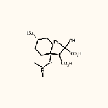 CC(C)C(O)(C(=O)O)C(C(=O)O)[C@]1(O[SiH](C)C)CC[C@H](C(C)(C)C)CC1